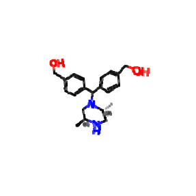 C[C@@H]1CN[C@@H](C)CN1C(c1ccc(CO)cc1)c1ccc(CO)cc1